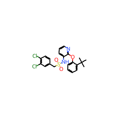 CC(C)(C)c1ccccc1Oc1ncccc1NS(=O)(=O)Cc1ccc(Cl)c(Cl)c1